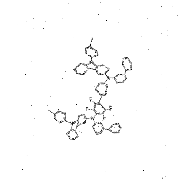 Cc1ccc(-n2c3ccccc3c3cc(N(c4ccc(-c5c(F)c(F)c(N(c6cccc(-c7ccccc7)c6)c6ccc7c(c6)c6ccccc6n7-c6ccc(C)cc6)c(F)c5F)cc4)c4cccc(-c5ccccc5)c4)ccc32)cc1